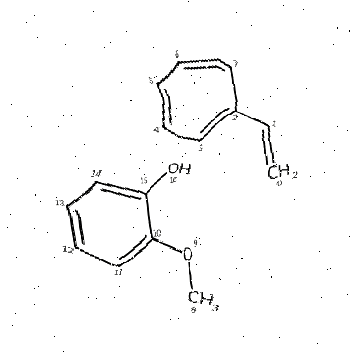 C=Cc1ccccc1.COc1ccccc1O